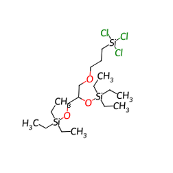 CC[Si](CC)(CC)OCC(COCCC[Si](Cl)(Cl)Cl)O[Si](CC)(CC)CC